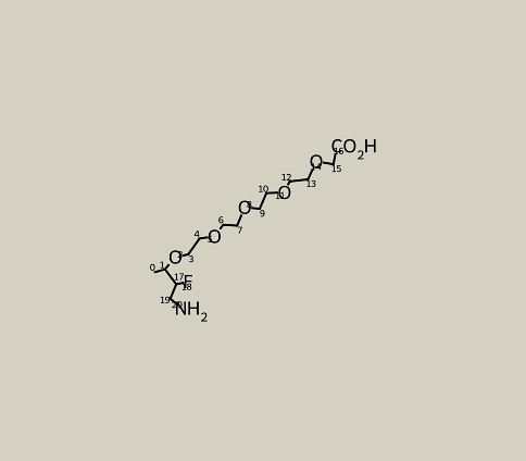 CC(OCCOCCOCCOCCOCC(=O)O)C(F)CN